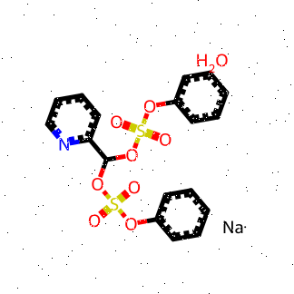 O.O=S(=O)(Oc1ccccc1)OC(OS(=O)(=O)Oc1ccccc1)c1ccccn1.[Na]